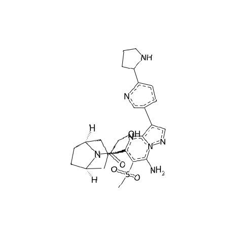 CS(=O)(=O)c1c([C@H]2C[C@H]3CC[C@@H](C2)N3C(=O)CO)nc2c(-c3ccc(C4CCCN4)nc3)cnn2c1N